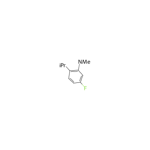 CNc1cc(F)ccc1C(C)C